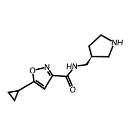 O=C(NC[C@H]1CCNC1)c1cc(C2CC2)on1